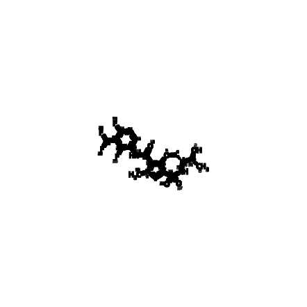 C[C@H](O)[C@H]1COc2c(cn(C)c2C(=O)Nc2ccc(F)c(C(F)F)c2F)S(=O)(=O)N1